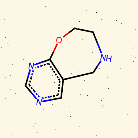 c1ncc2c(n1)OCCNC2